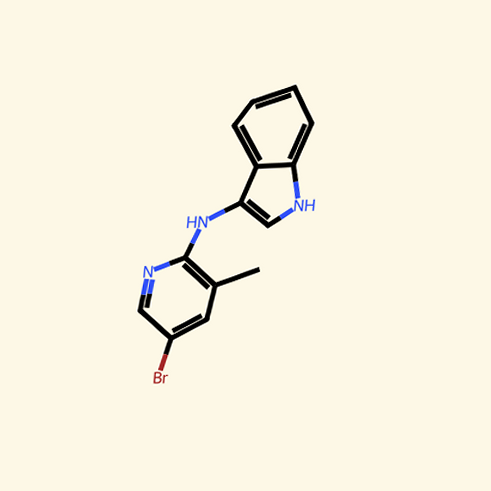 Cc1cc(Br)cnc1Nc1c[nH]c2ccccc12